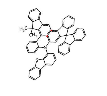 CC1(C)c2ccccc2-c2cccc(-c3ccccc3N(c3ccc4c(c3)C3(c5ccccc5-c5ccccc53)c3ccccc3-4)c3cccc4c3sc3ccccc34)c21